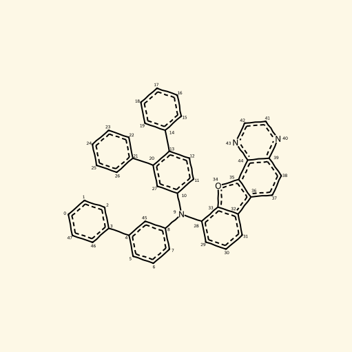 c1ccc(-c2cccc(N(c3ccc(-c4ccccc4)c(-c4ccccc4)c3)c3cccc4c3oc3c4ccc4nccnc43)c2)cc1